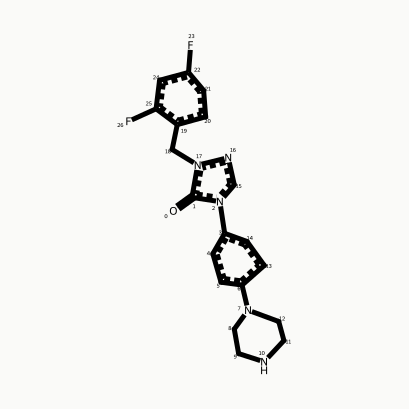 O=c1n(-c2ccc(N3CCNCC3)cc2)cnn1Cc1ccc(F)cc1F